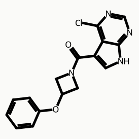 O=C(c1c[nH]c2ncnc(Cl)c12)N1CC(Oc2ccccc2)C1